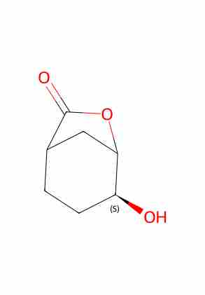 O=C1OC2CC1CC[C@@H]2O